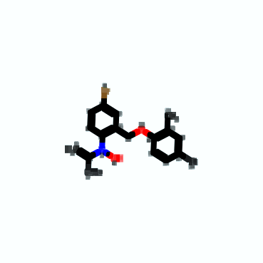 C=C(OC)N(O)c1ccc(Br)cc1COc1ccc(CC)cc1C